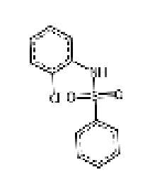 O=S(=O)(Nc1ccc[c]c1Cl)c1ccccc1